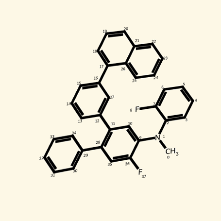 CN(c1ccccc1F)c1cc(-c2cccc(-c3cccc4ccccc34)c2)c(-c2ccccc2)cc1F